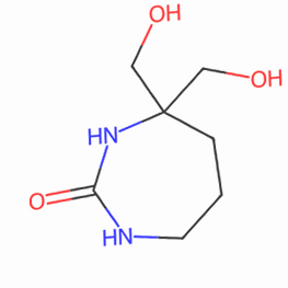 O=C1NCCCC(CO)(CO)N1